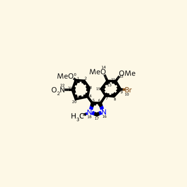 COc1ccc(-c2c(-c3cc(Br)c(OC)c(OC)c3)ncn2C)cc1[N+](=O)[O-]